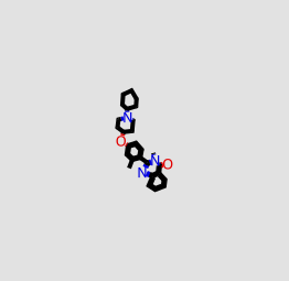 Cc1cc(OC2CCN(C3CCCCC3)CC2)ccc1-c1nc2ccccc2c(=O)n1C